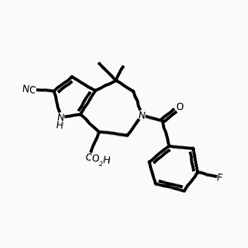 CC1(C)CN(C(=O)c2cccc(F)c2)CC(C(=O)O)c2[nH]c(C#N)cc21